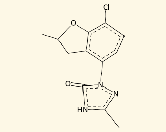 Cc1nn(-c2ccc(Cl)c3c2CC(C)O3)c(=O)[nH]1